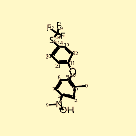 Cc1cc(N(C)O)ccc1Oc1ccc(SC(F)(F)F)cc1